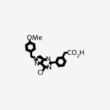 COc1ccc(Cn2cc3nc(-c4cccc(CC(=O)O)c4)nc(Cl)c3n2)cc1